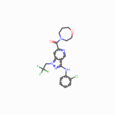 O=C(c1cc2c(cn1)c(Nc1ccccc1Cl)nn2CC(F)(F)F)N1CCCOCC1